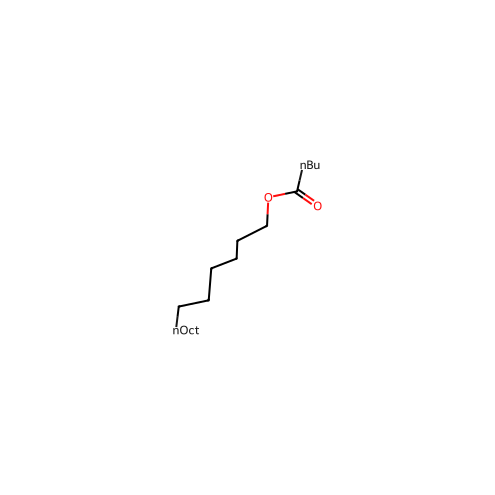 CCCCCCCCCCCCCCOC(=O)CCCC